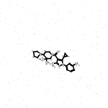 Cc1nn(-c2cccc(C(F)(F)F)c2)c(C2CC2)c1C(=O)N1CCC(N2CCCC2)C(C)(C)C1